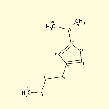 CCCCC1=C[CH]C(C(C)C)=C1